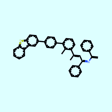 C=C(/N=C(\C=C(/C)c1cccc(-c2ccc(-c3ccc4sc5ccccc5c4c3)cc2)c1C)c1ccccc1)c1ccccc1